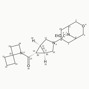 CCOC(=O)N1C2COCC1CC(N1C[C@@H]3[C@H](C1)[C@H]3C(=O)N1CCC13CCC3)C2